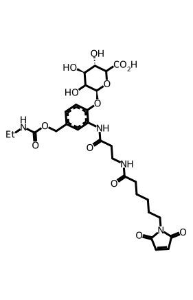 CCNC(=O)OCc1ccc(O[C@@H]2OC(C(=O)O)[C@@H](O)[C@H](O)C2O)c(NC(=O)CCNC(=O)CCCCCN2C(=O)C=CC2=O)c1